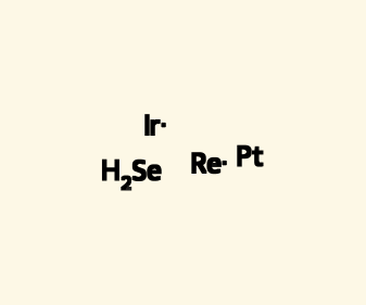 [Ir].[Pt].[Re].[SeH2]